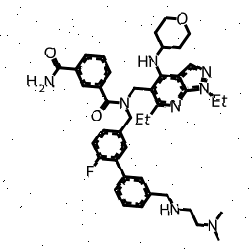 CCc1nc2c(cnn2CC)c(NC2CCOCC2)c1CN(Cc1ccc(F)c(-c2cccc(CNCCN(C)C)c2)c1)C(=O)c1cccc(C(N)=O)c1